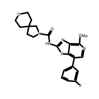 COc1ncc(-c2cccc(F)c2)c2sc(NC(=O)N3CCC4(CCOCC4)C3)nc12